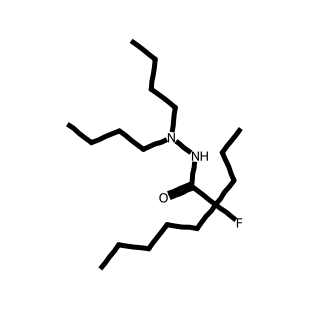 CCCCCC(F)(CCC)C(=O)NN(CCCC)CCCC